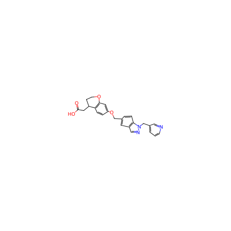 O=C(O)CC1CCOc2cc(OCc3ccc4c(cnn4Cc4cccnc4)c3)ccc21